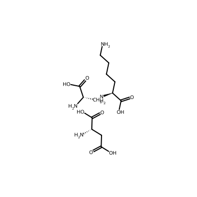 C[C@H](N)C(=O)O.NCCCC[C@H](N)C(=O)O.N[C@@H](CC(=O)O)C(=O)O